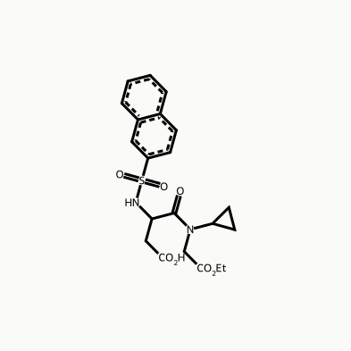 CCOC(=O)CN(C(=O)C(CC(=O)O)NS(=O)(=O)c1ccc2ccccc2c1)C1CC1